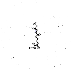 CCNC(=O)N(CC)CCCOC(=O)/C=C/C(=O)OC(C)C